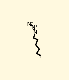 [N-]=[N+]=NCCCCCI